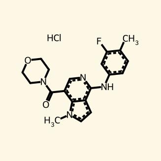 Cc1ccc(Nc2ncc(C(=O)N3CCOCC3)c3c2ccn3C)cc1F.Cl